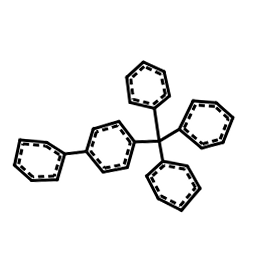 c1ccc(-c2ccc(C(c3ccccc3)(c3ccccc3)c3ccccc3)cc2)cc1